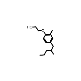 CCCC(C)Cc1ccc(OCCO)c(C)c1